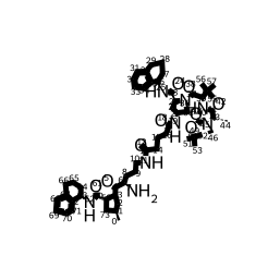 C[C@@H]1CC(C(=O)[C@@H](N)CCCNC(=O)CCCC(=O)N[C@H]2C[C@@H](C(=O)N[C@@H]3CCCc4ccccc43)N(C(=O)[C@@H](NC(=O)[C@H](C)N(C)C(=O)OC(C)(C)C)C(C)(C)C)C2)[C@H](C(=O)N[C@@H]2CCCc3ccccc32)C1